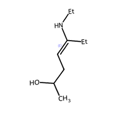 CCN/C(=C/CC(C)O)CC